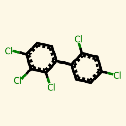 Clc1ccc(-c2ccc(Cl)c(Cl)c2Cl)c(Cl)c1